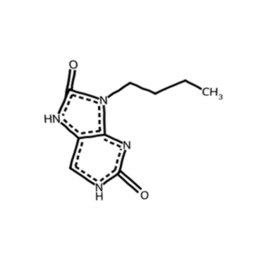 CCCCn1c(=O)[nH]c2c[nH]c(=O)nc21